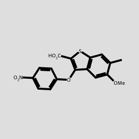 COc1cc2c(Oc3ccc([N+](=O)[O-])cc3)c(C(=O)O)sc2cc1C